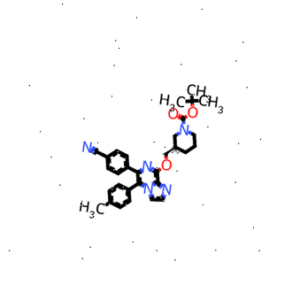 Cc1ccc(-c2c(-c3ccc(C#N)cc3)nc(OC[C@@H]3CCCN(C(=O)OC(C)(C)C)C3)c3nccn23)cc1